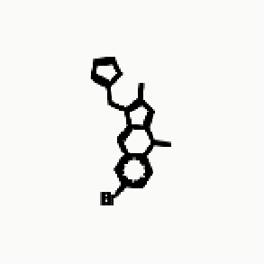 CC1=C(CC2=CC=CC2)C2=Cc3cc(Br)ccc3C(C)C2=C1